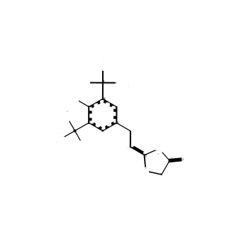 CC(C)(C)c1cc(CC=C2NC(=O)CS2)cc(C(C)(C)C)c1O